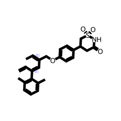 C=C/C(=C\C(=C/C)COc1ccc(C2CC(=O)NS(=O)(=O)C2)cc1)c1c(C)cccc1C